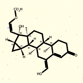 C[C@]12CC[C@H]3[C@@H](CC(=CO)C4=CC(=O)CC[C@@H]43)[C@@H]1[C@@H]1C[C@@H]1[C@@]2(O)/C=C\OC(=O)O